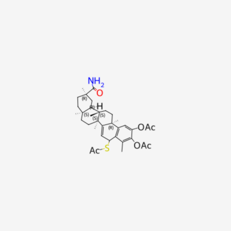 CC(=O)Oc1cc2c(c(C)c1OC(C)=O)C(SC(C)=O)C=C1[C@@]2(C)CC[C@@]2(C)[C@@H]3C[C@](C)(C(N)=O)CC[C@]3(C)CC[C@]12C